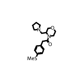 CSc1ccc(CC(=O)N2CCOCC2CN2CCCC2)cc1